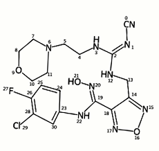 N#C/N=C(\NCCN1CCOCC1)NCc1nonc1/C(=N/O)Nc1ccc(F)c(Cl)c1